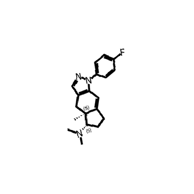 CN(C)[C@H]1CCC2=Cc3c(cnn3-c3ccc(F)cc3)C[C@@]21C